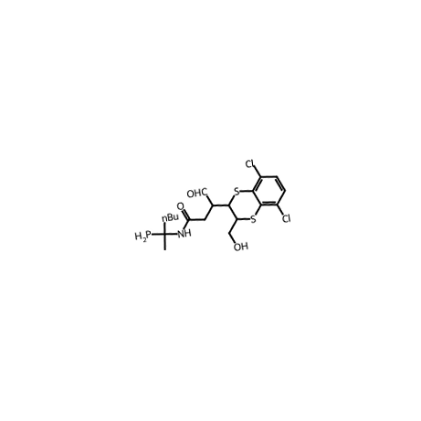 CCCCC(C)(P)NC(=O)CC(C=O)C1Sc2c(Cl)ccc(Cl)c2SC1CO